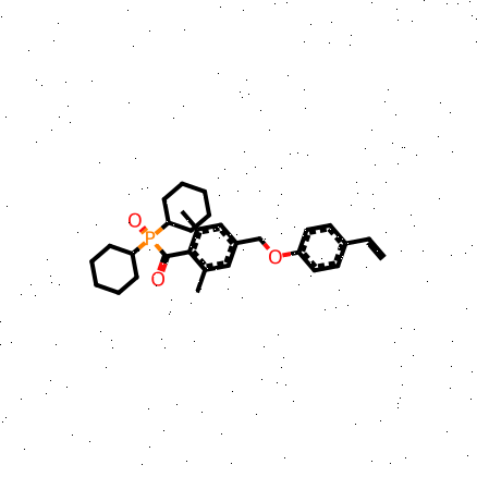 C=Cc1ccc(OCc2cc(C)c(C(=O)P(=O)(C3CCCCC3)C3CCCCC3)c(C)c2)cc1